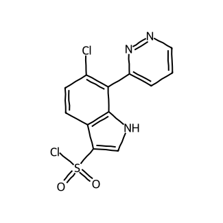 O=S(=O)(Cl)c1c[nH]c2c(-c3cccnn3)c(Cl)ccc12